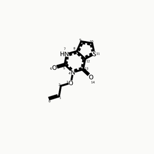 C=CCOn1c(=O)[nH]c2ccsc2c1=O